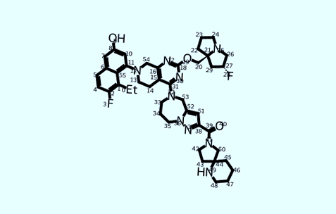 CCc1c(F)ccc2cc(O)cc(N3CCc4c(nc(OC[C@@]56CCCN5C[C@H](F)C6)nc4N4CCCn5nc(C(=O)N6CCC7(CCCCN7)C6)cc5C4)C3)c12